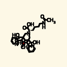 CC(=O)NCCCC[C@@H](C(=O)O)N1CC2(C(=O)O)C(c3ccccn3)N(C)C(c3ccccn3)C(C(=O)O)(C1)C2O